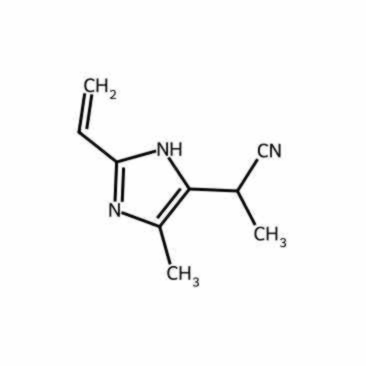 C=Cc1nc(C)c(C(C)C#N)[nH]1